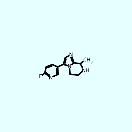 CC1NCCn2c(-c3ccc(F)nc3)cnc21